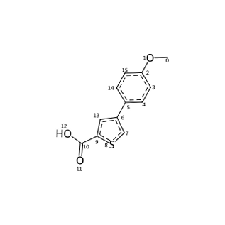 COc1ccc(-c2csc(C(=O)O)c2)cc1